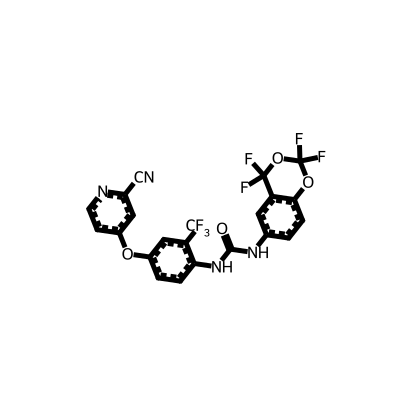 N#Cc1cc(Oc2ccc(NC(=O)Nc3ccc4c(c3)C(F)(F)OC(F)(F)O4)c(C(F)(F)F)c2)ccn1